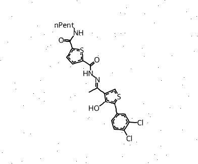 CCCCCNC(=O)c1ccc(C(=O)N/N=C(\C)c2csc(-c3ccc(Cl)c(Cl)c3)c2O)s1